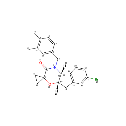 Cc1ccc(CN2C(=O)C3(CC3)O[C@H]3Cc4cc(Br)ccc4[C@H]32)cc1C